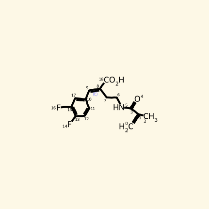 C=C(C)C(=O)NCC/C(=C\c1ccc(F)c(F)c1)C(=O)O